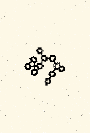 c1ccc(-c2ccc(-c3nc(-c4cccc(-c5cc(-c6ccccc6)cc(-c6cccc(C7(c8ccccc8)c8ccccc8-c8ccccc87)c6)c5)c4)nc4ccccc34)cc2)cc1